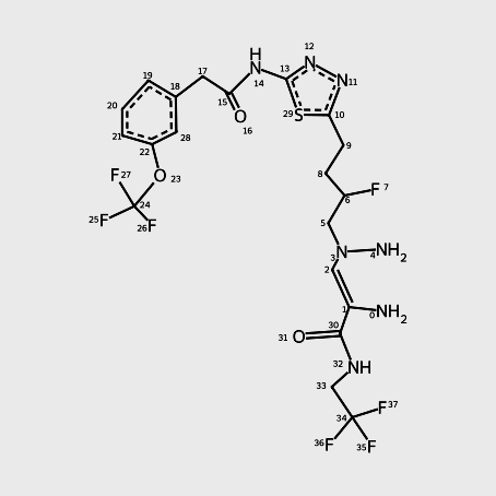 N/C(=C\N(N)CC(F)CCc1nnc(NC(=O)Cc2cccc(OC(F)(F)F)c2)s1)C(=O)NCC(F)(F)F